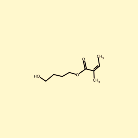 CC=C(C)C(=O)OCCCCO